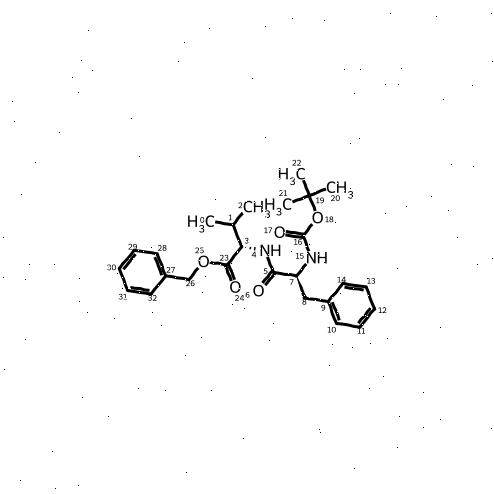 CC(C)[C@H](NC(=O)[C@H](Cc1ccccc1)NC(=O)OC(C)(C)C)C(=O)OCc1ccccc1